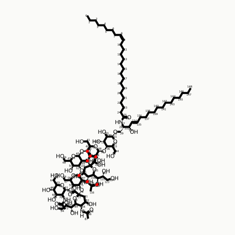 CCCCCCCC/C=C\CCCCCCCCCCCCCCCC(=O)N[C@@H](CO[C@@H]1OC(CO)[C@@H](O[C@@H]2OC(CO)[C@H](O[C@@H]3OC(CO)[C@H](O)[C@H](O[C@@H]4OC(CO)[C@H](O[C@@H]5OC(CO)[C@H](O)[C@H](O)C5NC(C)=O)[C@H](O[C@]5(C(=O)O)CC(O)[C@@H](NC(C)=O)C([C@H](O)[C@H](O)CO)O5)C4O)C3NC(C)=O)[C@H](O[C@]3(C(=O)O)CC(O)[C@@H](NC(C)=O)C([C@H](O)[C@H](O)CO)O3)C2O)[C@H](O)C1O)[C@H](O)/C=C/CCCCCCCCCCCCC